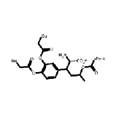 CCCCCC(=O)OC(C)CC(c1ccc(OC(=O)CC(C)CC)c(OC(=O)CC(C)CC)c1)[C@H](N)C(=O)O